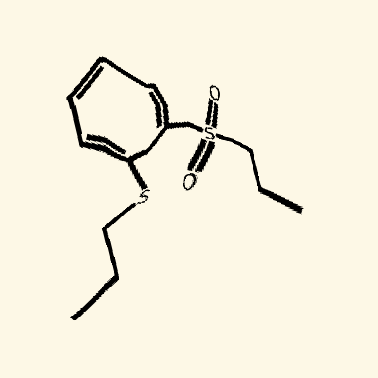 CCCSc1ccccc1S(=O)(=O)CCC